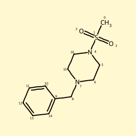 CS(=O)(=O)N1CCN(Cc2[c]cccc2)CC1